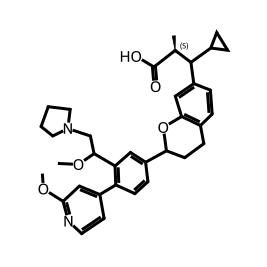 COc1cc(-c2ccc(C3CCc4ccc(C(C5CC5)[C@H](C)C(=O)O)cc4O3)cc2C(CN2CCCC2)OC)ccn1